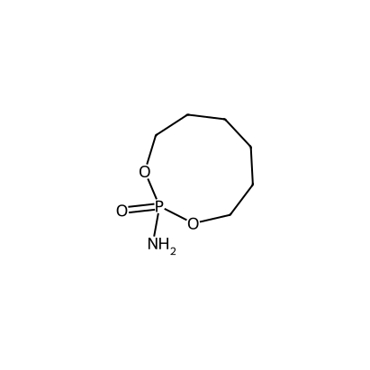 NP1(=O)OCCCCCCO1